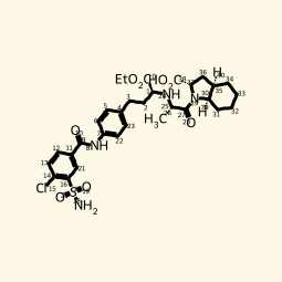 CCOC(=O)[C@H](CCc1ccc(NC(=O)c2ccc(Cl)c(S(N)(=O)=O)c2)cc1)N[C@@H](C)C(=O)N1[C@@H]2CCCC[C@@H]2C[C@H]1C(=O)O